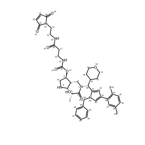 C[C@H](O)C(=O)N(C[C@@H]1CNC[C@H]1OC(=O)NCCC(=O)NCCN1C(=O)C=CC1=O)[C@@H](c1nc(-c2cc(F)ccc2F)cn1Cc1ccccc1)C1CCOCC1